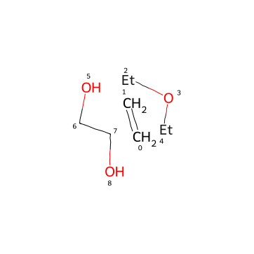 C=C.CCOCC.OCCO